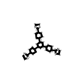 c1csc(-c2ccc(-c3cc(-c4ccc(-c5nccs5)cc4)cc(-c4ccc(-c5nccs5)cc4)c3)cc2)n1